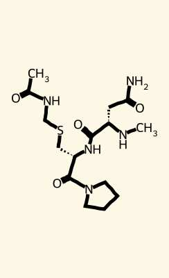 CN[C@@H](CC(N)=O)C(=O)N[C@@H](CSCNC(C)=O)C(=O)N1CCCC1